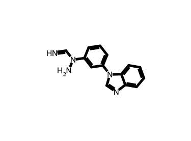 N=CN(N)c1cccc(-n2cnc3ccccc32)c1